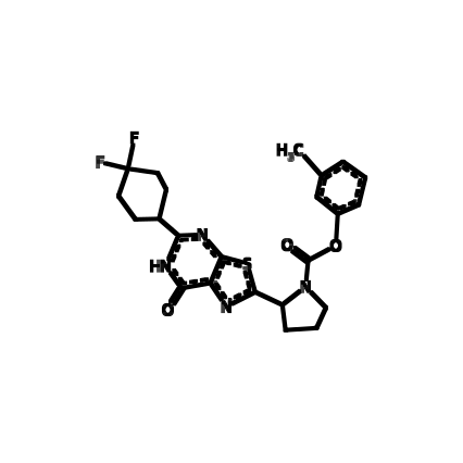 Cc1cccc(OC(=O)N2CCCC2c2nc3c(=O)[nH]c(C4CCC(F)(F)CC4)nc3s2)c1